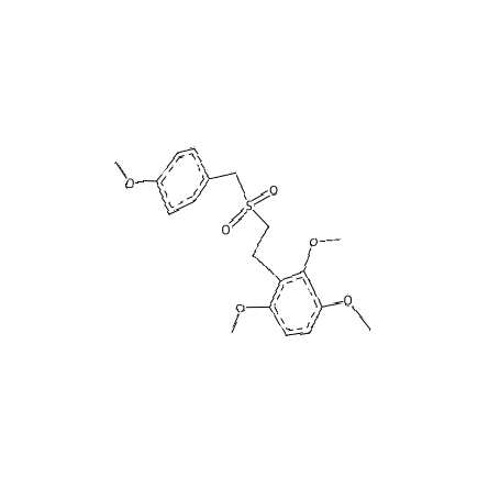 COc1ccc(CS(=O)(=O)CCc2c(OC)ccc(OC)c2OC)cc1